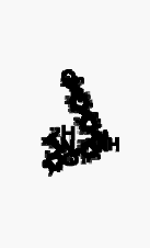 O=C(NC(c1ccccc1)C1CC1)c1ccc2[nH]nc(-c3ccc(C4CCN(C5COC5)CC4)cc3)c2c1